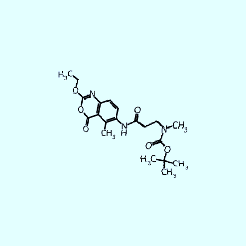 CCOc1nc2ccc(NC(=O)CCN(C)C(=O)OC(C)(C)C)c(C)c2c(=O)o1